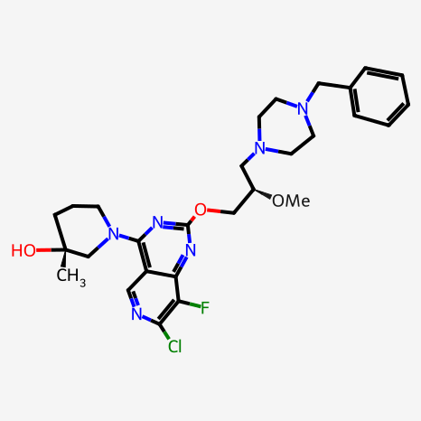 CO[C@@H](COc1nc(N2CCC[C@@](C)(O)C2)c2cnc(Cl)c(F)c2n1)CN1CCN(Cc2ccccc2)CC1